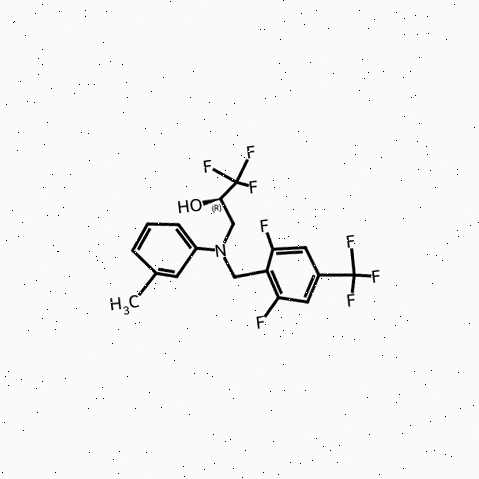 Cc1cccc(N(Cc2c(F)cc(C(F)(F)F)cc2F)C[C@@H](O)C(F)(F)F)c1